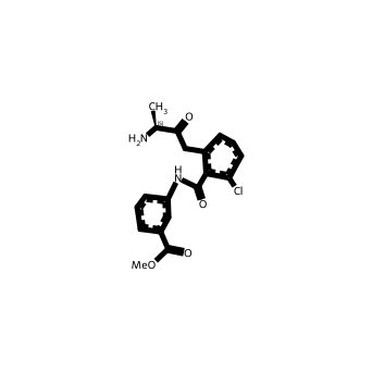 COC(=O)c1cccc(NC(=O)c2c(Cl)cccc2CC(=O)[C@H](C)N)c1